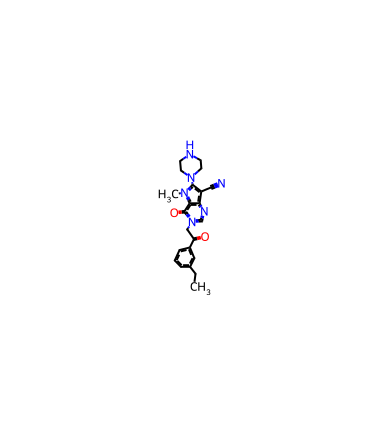 CCc1cccc(C(=O)Cn2cnc3c(C#N)c(N4CCNCC4)n(C)c3c2=O)c1